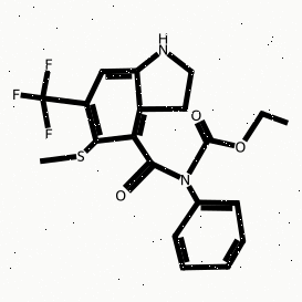 CCOC(=O)N(C(=O)c1c2c(cc(C(F)(F)F)c1SC)NCC2)c1ccccc1